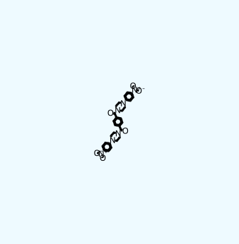 O=C(c1ccc(C(=O)N2CCN(c3ccc([N+](=O)[O-])cc3)CC2)cc1)N1CCN(c2ccc([N+](=O)[O-])cc2)CC1